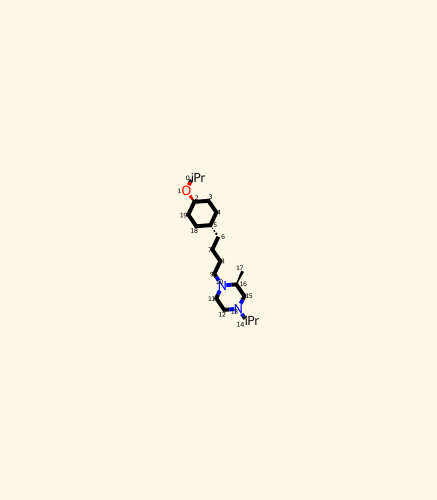 CC(C)O[C@H]1CC[C@H](CCCCN2CCN(C(C)C)C[C@@H]2C)CC1